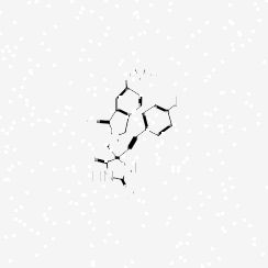 COc1ccc2c(c1)C(=O)N(CC1(C#Cc3ccc(F)cc3)NC(=O)NC1=O)C2